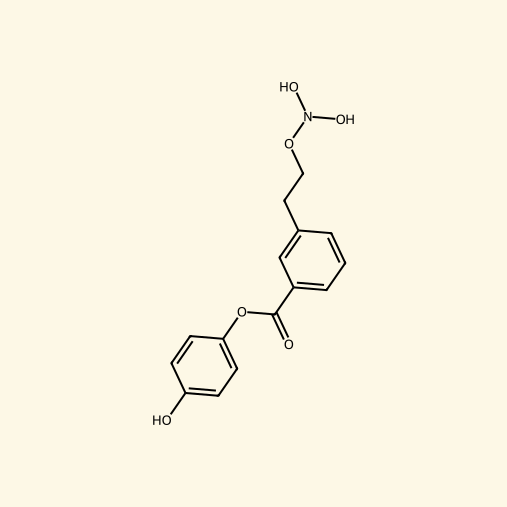 O=C(Oc1ccc(O)cc1)c1cccc(CCON(O)O)c1